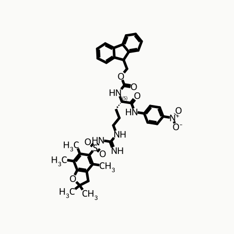 Cc1c(C)c(S(=O)(=O)NC(=N)NCCC[C@H](NC(=O)OCC2c3ccccc3-c3ccccc32)C(=O)Nc2ccc([N+](=O)[O-])cc2)c(C)c2c1OC(C)(C)C2